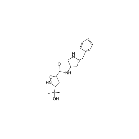 CC(C)(O)C1CC(C(=O)NC2CNN(Cc3ccccc3)C2)ON1